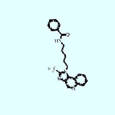 Cc1nc2cnc3ccccc3c2n1CCCCCNC(=O)c1ccccc1